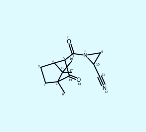 CC12CCC(C(C(=O)N3CC3C#N)C1=O)C2(C)C